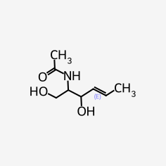 C/C=C/C(O)C(CO)NC(C)=O